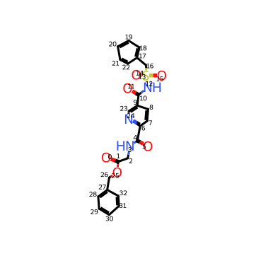 O=C(CNC(=O)c1ccc(C(=O)NS(=O)(=O)Cc2ccccc2)cn1)OCc1ccccc1